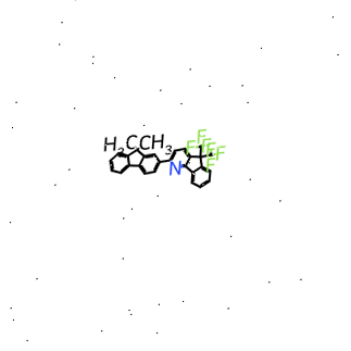 CC1(C)c2ccccc2-c2ccc(-c3ccc4c(n3)-c3ccccc3C4(C(F)(F)F)C(F)(F)F)cc21